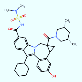 C[C@@H]1C[C@H](C)CN(C(=O)C23CC2c2cc(O)ccc2-c2c(C4CCCCC4)c4ccc(C(=O)NS(=O)(=O)N(C)C)cc4n2C3)C1